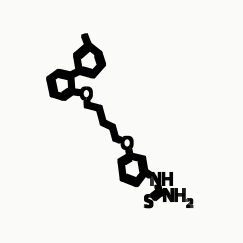 Cc1cccc(-c2ccccc2OCCCCCOc2cccc(NC(N)=S)c2)c1